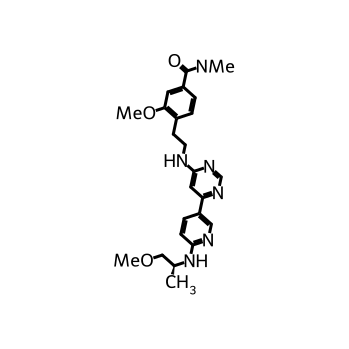 CNC(=O)c1ccc(CCNc2cc(-c3ccc(N[C@@H](C)COC)nc3)ncn2)c(OC)c1